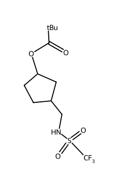 CC(C)(C)C(=O)OC1CCC(CNS(=O)(=O)C(F)(F)F)C1